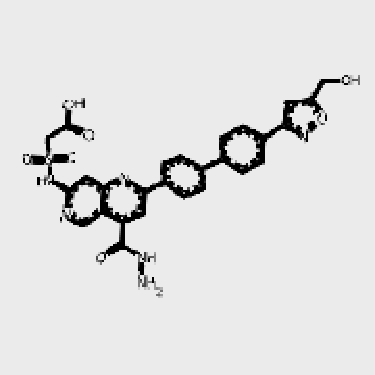 NNC(=O)c1cc(-c2ccc(-c3ccc(-c4cc(CO)on4)cc3)cc2)nc2cc(NS(=O)(=O)CC(=O)O)ncc12